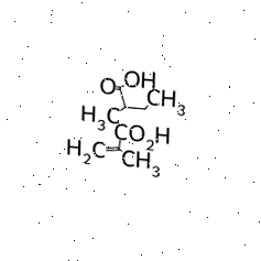 C=C(C)C(=O)O.CCC(C)C(=O)O